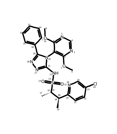 COc1ncnc(OC)c1-n1c(NS(=O)(=O)[C@@H](C)[C@H](C)c2ccc(Cl)cn2)nnc1-c1ccccc1